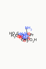 CC(C)C[C@H](NC(=O)[C@@H](N)CCCCN)C(=O)N[C@@H](CC(=O)O)C(=O)N[C@@H](C)C(=O)N1CCC[C@H]1C(=O)N[C@H](C(=O)O)[C@@H](C)O